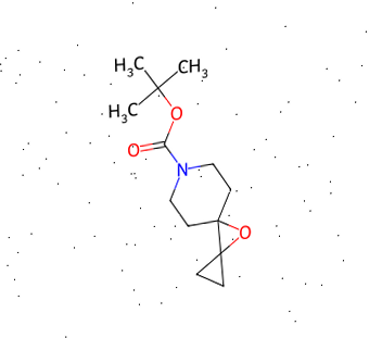 CC(C)(C)OC(=O)N1CCC2(CC1)OC21CC1